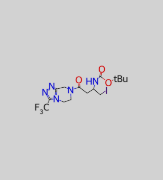 CC(C)(C)OC(=O)NC(CI)CC(=O)N1CCn2c(nnc2C(F)(F)F)C1